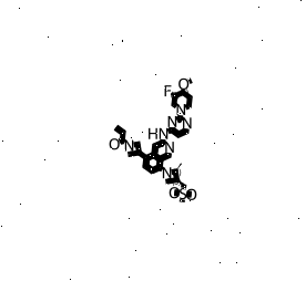 C=CC(=O)N1CC(c2ccc(N3C[C@H](CS(C)(=O)=O)[C@H]3C)c3cnc(Nc4ccnc(N5CC[C@H](OC)[C@H](F)C5)n4)cc23)C1